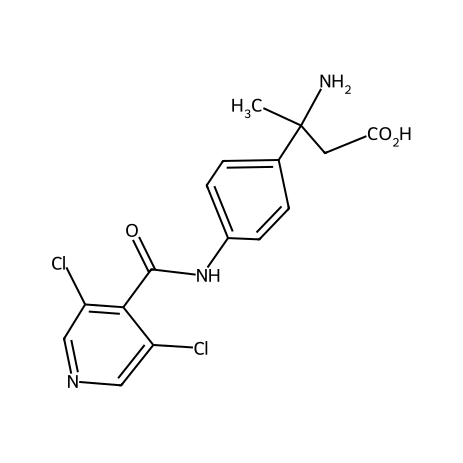 CC(N)(CC(=O)O)c1ccc(NC(=O)c2c(Cl)cncc2Cl)cc1